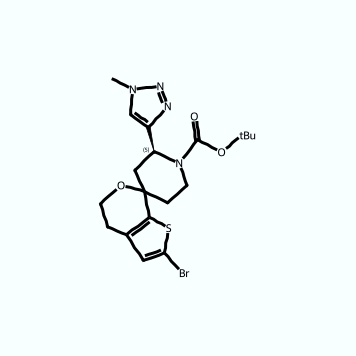 Cn1cc([C@@H]2CC3(CCN2C(=O)OC(C)(C)C)OCCc2cc(Br)sc23)nn1